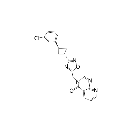 O=c1c2cccnc2ncn1Cc1nc([C@H]2C[C@H](c3cccc(Cl)c3)C2)no1